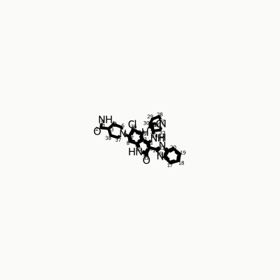 NC(=O)C1CCN(c2cc3[nH]c(=O)c(-c4nc5ccccc5[nH]4)c(N[C@H]4CN5CCC4CC5)c3cc2Cl)CC1